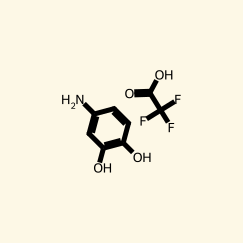 Nc1ccc(O)c(O)c1.O=C(O)C(F)(F)F